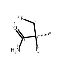 C[C@@](F)(CF)C(N)=O